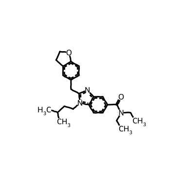 CCN(CC)C(=O)c1ccc2c(c1)nc(Cc1ccc3c(c1)CCO3)n2CCC(C)C